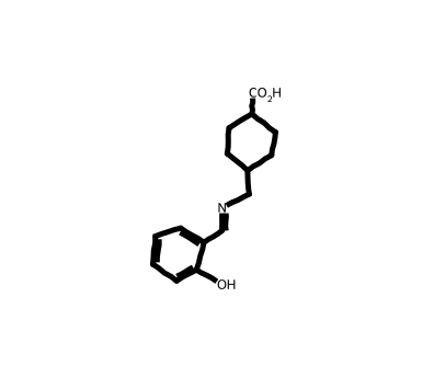 O=C(O)C1CCC(CN=Cc2ccccc2O)CC1